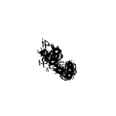 CC(C)c1ccc2c(c1)N1c3ncccc3[S+]([O-])c3cc(C(C)(C)c4ccc5c(c4)N4c6ncccc6S(=O)(=O)c6cccc(c64)O5)cc(c31)O2